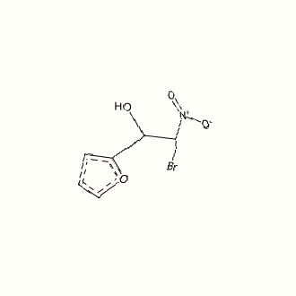 O=[N+]([O-])C(Br)C(O)c1ccco1